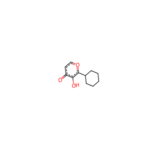 O=c1ccoc(C2CCCCC2)c1O